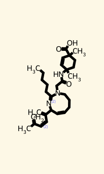 C=C(C)/C=C\C(=C)C1C=CCCCN(CC(=O)NC2(C)C=CC(C)(C(=O)O)CC2)/C(CCCCC)=N\1